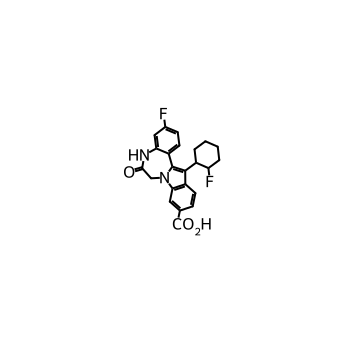 O=C1Cn2c(c(C3CCCCC3F)c3ccc(C(=O)O)cc32)-c2ccc(F)cc2N1